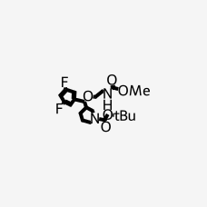 COC(=O)NCCOC(c1cc(F)cc(F)c1)C1CCCN(C(=O)OC(C)(C)C)C1